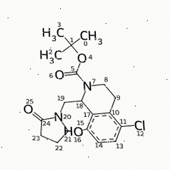 CC(C)(C)OC(=O)N1CCc2c(Cl)ccc(O)c2C1CN1CCCC1=O